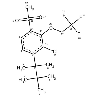 CC(C)(C)C(C)(C)c1ccc(S(C)(=O)=O)c(OCC(F)(F)F)c1Cl